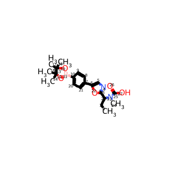 CCC(c1ncc(-c2ccc(B3OC(C)(C)C(C)(C)O3)cc2)o1)N(C)C(=O)O